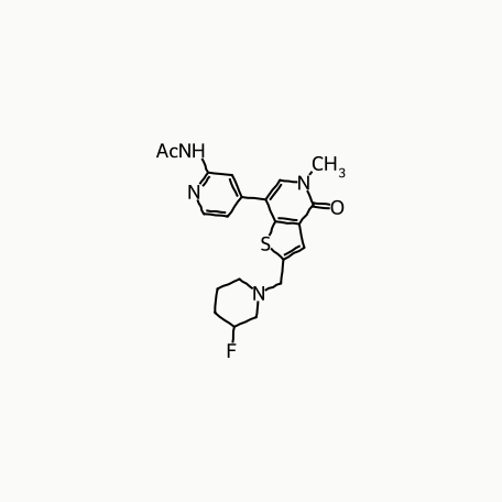 CC(=O)Nc1cc(-c2cn(C)c(=O)c3cc(CN4CCCC(F)C4)sc23)ccn1